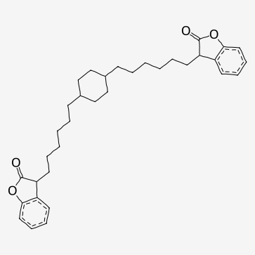 O=C1Oc2ccccc2C1CCCCCCC1CCC(CCCCCCC2C(=O)Oc3ccccc32)CC1